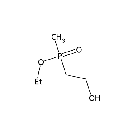 CCOP(C)(=O)CCO